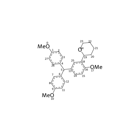 COc1ccc([C](c2ccc(OC)cc2)c2ccc(OC)c(C3CCCCO3)c2)cc1